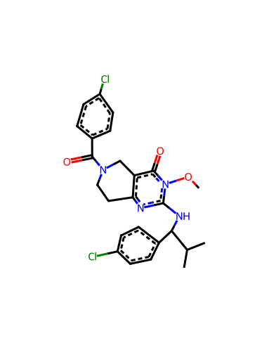 COn1c(NC(c2ccc(Cl)cc2)C(C)C)nc2c(c1=O)CN(C(=O)c1ccc(Cl)cc1)CC2